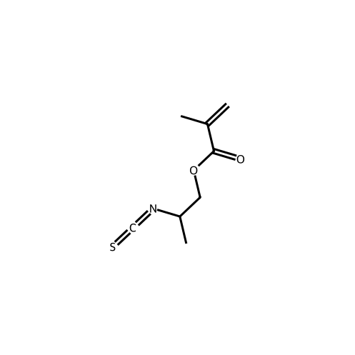 C=C(C)C(=O)OCC(C)N=C=S